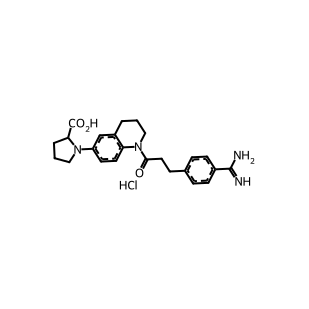 Cl.N=C(N)c1ccc(CCC(=O)N2CCCc3cc(N4CCCC4C(=O)O)ccc32)cc1